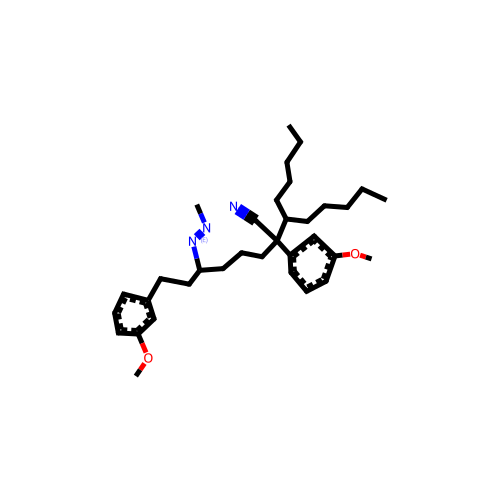 CCCCCC(CCCCC)C(C#N)(CCCC(CCc1cccc(OC)c1)/N=N/C)c1cccc(OC)c1